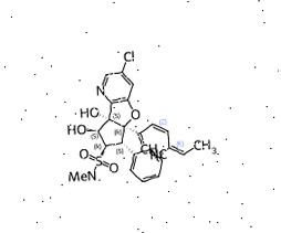 C=C(/C=C\C(C#N)=C/C)[C@@]12Oc3cc(Cl)cnc3[C@]1(O)[C@H](O)[C@H](S(=O)(=O)NC)[C@H]2c1ccccc1